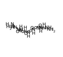 NCC(N)CNCCNC(=O)c1cc2ccc(NC(=O)c3ccc4[nH]c(C(=O)Nc5ccc6cc(C(=O)NCCNCC(N)CN)[nH]c6c5)cc4c3)cc2[nH]1